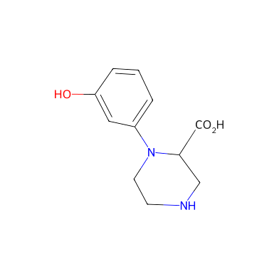 O=C(O)C1CNCCN1c1cccc(O)c1